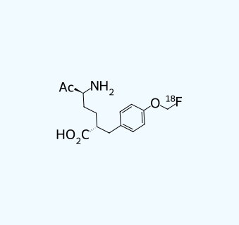 CC(=O)[C@@H](N)CC[C@H](Cc1ccc(OC[18F])cc1)C(=O)O